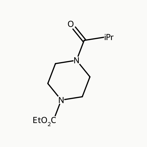 CCOC(=O)N1CCN(C(=O)C(C)C)CC1